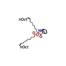 CCCCCCCC/C=C\CCCCCCCC(=O)OC(N)(CCCCCCC/C=C\CCCCCCCC)C(=O)c1ccccc1